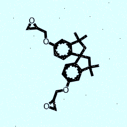 CC1(C)CC2(CC(C)(C)c3cc(OCC4CO4)ccc32)c2ccc(OCC3CO3)cc21